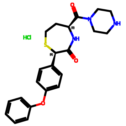 Cl.O=C1N[C@H](C(=O)N2CCNCC2)CCS[C@@H]1c1ccc(Oc2ccccc2)cc1